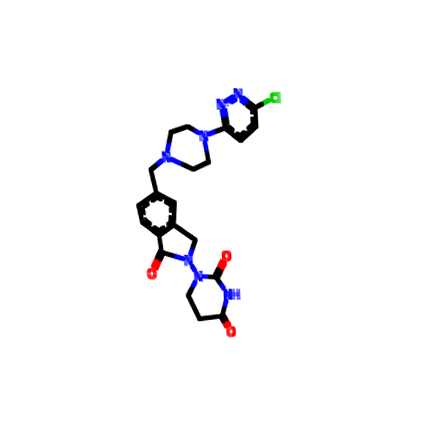 O=C1CCN(N2Cc3cc(CN4CCN(c5ccc(Cl)nn5)CC4)ccc3C2=O)C(=O)N1